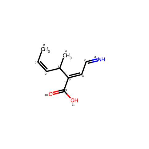 C/C=C\C(C)/C(=C\C=N)C(=O)O